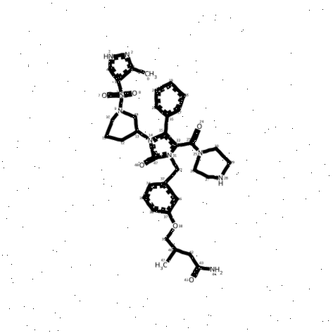 Cc1n[nH]cc1S(=O)(=O)N1CCCC(n2c(-c3ccccc3)c(C(=O)N3CCNCC3)n(Cc3cccc(OCC(C)CC(N)=O)c3)c2=O)C1